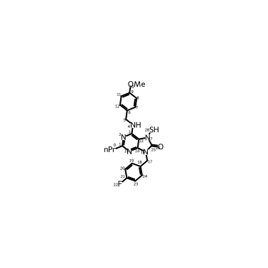 CCCc1nc(NCc2ccc(OC)cc2)c2c(n1)n(Cc1ccc(F)cc1)c(=O)n2S